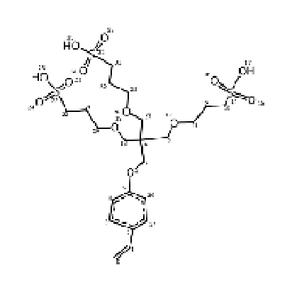 C=Cc1ccc(OCC(COCCCS(=O)(=O)O)(COCCCS(=O)(=O)O)COCCCS(=O)(=O)O)cc1